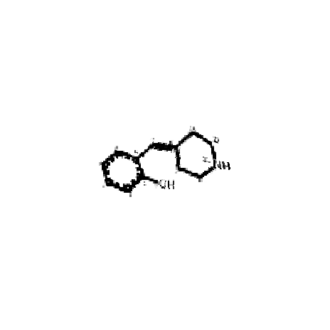 Oc1ccccc1C=C1CCNCC1